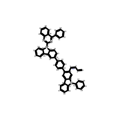 C=C/C=C\c1cc2c(cc1-c1ccc(-c3ccc4c(c3)c3ccccc3n4-c3nc(-c4ccccc4)c4ccccc4n3)cc1)c1ccccc1n2-c1ccccc1